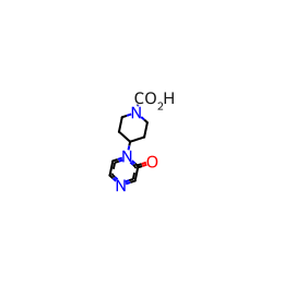 O=C(O)N1CCC(n2ccncc2=O)CC1